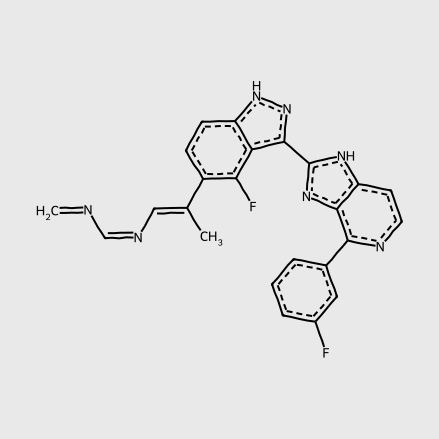 C=N/C=N\C=C(/C)c1ccc2[nH]nc(-c3nc4c(-c5cccc(F)c5)nccc4[nH]3)c2c1F